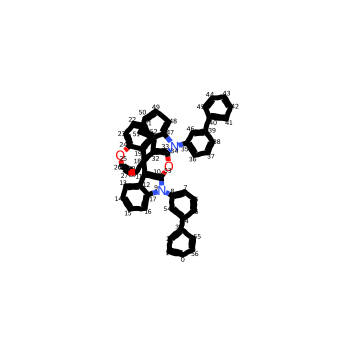 c1ccc(-c2cccc(-n3c4c(c5ccccc53)C3(c5ccccc5Oc5ccccc53)c3c(n(-c5cccc(-c6ccccc6)c5)c5ccccc35)O4)c2)cc1